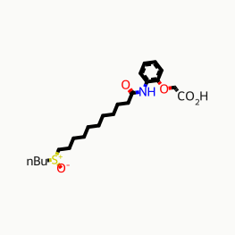 CCCC[S+]([O-])CCCCCCCCCCC(=O)Nc1ccccc1OCC(=O)O